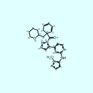 Cn1nccc1Nc1nccc(-c2cnnn2C(=O)C2(CC3CCCCO3)C=CC=CC2)n1